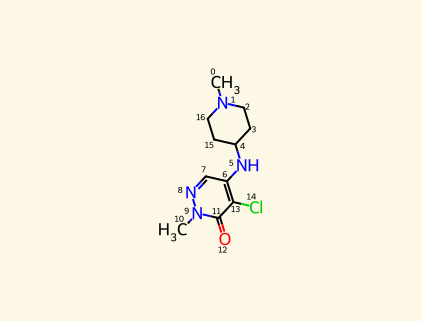 CN1CCC(Nc2cnn(C)c(=O)c2Cl)CC1